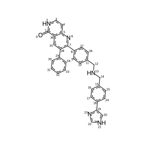 O=c1[nH]ccc2nc(-c3ccc(CNCc4ccc(-c5c[nH]cn5)cc4)cc3)c(-c3ccccc3)cc12